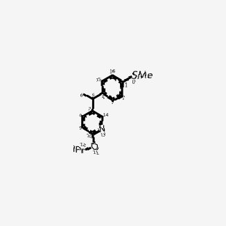 CSc1ccc(C(C)c2ccc(OC(C)C)nc2)cc1